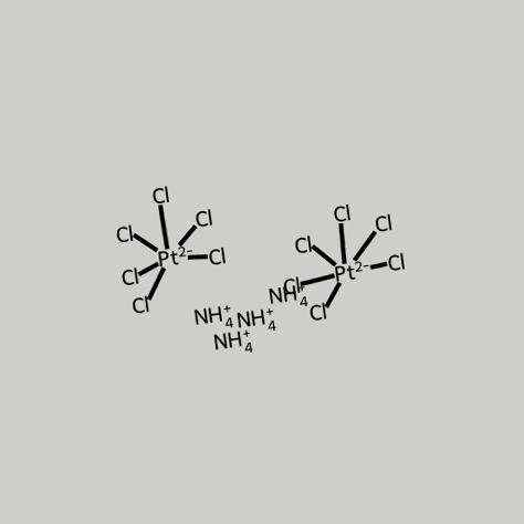 [Cl][Pt-2]([Cl])([Cl])([Cl])([Cl])[Cl].[Cl][Pt-2]([Cl])([Cl])([Cl])([Cl])[Cl].[NH4+].[NH4+].[NH4+].[NH4+]